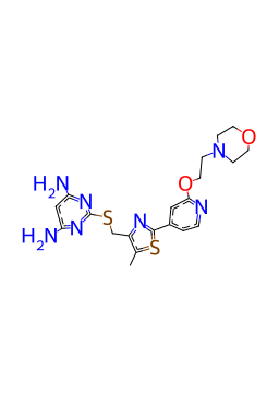 Cc1sc(-c2ccnc(OCCN3CCOCC3)c2)nc1CSc1nc(N)cc(N)n1